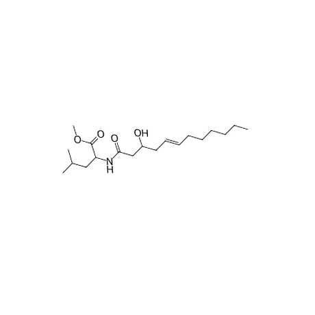 CCCCCC/C=C/CC(O)CC(=O)NC(CC(C)C)C(=O)OC